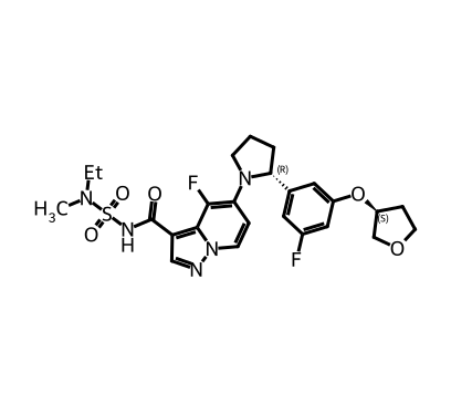 CCN(C)S(=O)(=O)NC(=O)c1cnn2ccc(N3CCC[C@@H]3c3cc(F)cc(O[C@H]4CCOC4)c3)c(F)c12